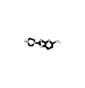 Cc1ccc2oc(N3CCNCC3)nc2n1